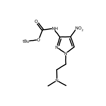 CN(C)CCn1cc([N+](=O)[O-])c(NC(=O)OC(C)(C)C)n1